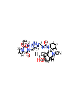 C[C@@H]1[C@H]2C[C@@H](c3ccccc3NC(=O)CCn3cc(CNC(=O)[C@@H]4CCCN4C(=O)OC(C)(C)C)nn3)N(C#N)C[C@@H]2CC[C@@H]1O